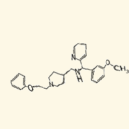 COc1cccc([C@@H](NCC2CCN(CCOc3ccccc3)CC2)c2ccccn2)c1